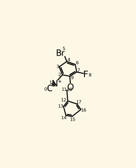 [C-]#[N+]c1cc(Br)cc(F)c1OCc1ccccc1